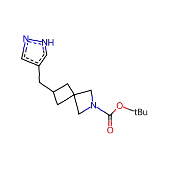 CC(C)(C)OC(=O)N1CC2(CC(Cc3cn[nH]c3)C2)C1